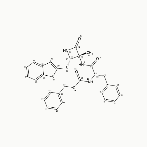 C[C@]1(NC(=O)[C@H](Cc2ccccc2)NC(=O)OCc2ccccc2)C(=O)N[C@H]1Sc1nc2ccccc2s1